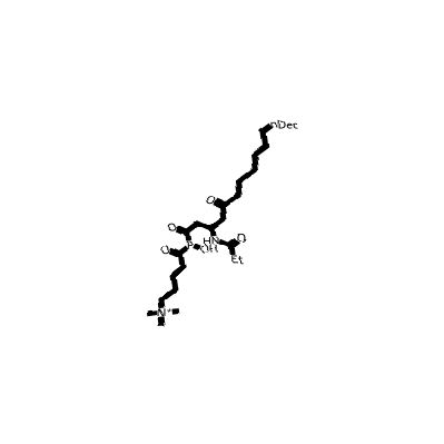 CCCCCCCCCCCCCCCCC(=O)CC(CC(=O)P(O)C(=O)CCCC[N+](C)(C)C)NC(=O)CC